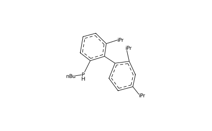 CCCCPc1cccc(C(C)C)c1-c1ccc(C(C)C)cc1C(C)C